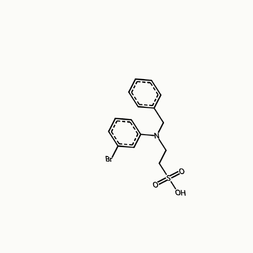 O=S(=O)(O)CCN(Cc1ccccc1)c1cccc(Br)c1